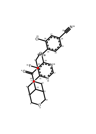 CCOC(=O)N1CC2COCC(C1)C2Oc1ncnc(Nc2ccc(C#N)cc2Cl)c1F